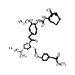 COC(=O)c1ccc(OC[C@@H]2C[C@H](N(C)C)CN2C(=O)Cc2ccc(NC(=O)Nc3ccccc3Cl)c(OC)c2)cc1